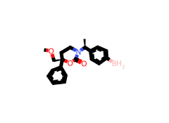 Bc1ccc([C@H](C)N2CC[C@@](COC)(c3ccccc3)OC2=O)cc1